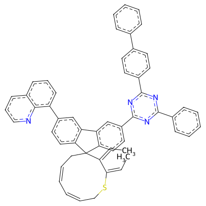 C/C=C1\C(=C/C)SC/C=C\C=C/CC12c1ccc(-c3nc(-c4ccccc4)nc(-c4ccc(-c5ccccc5)cc4)n3)cc1-c1cc(-c3cccc4cccnc34)ccc12